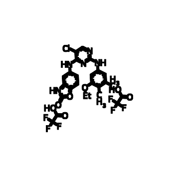 CCOc1cc(Nc2ncc(Cl)c(Nc3ccc4oc(=O)[nH]c4c3)n2)cc(C)c1C.O=C(O)C(F)(F)F.O=C(O)C(F)(F)F